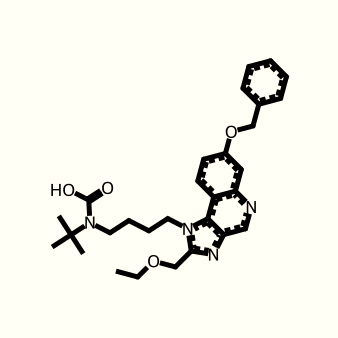 CCOCc1nc2cnc3cc(OCc4ccccc4)ccc3c2n1CCCCN(C(=O)O)C(C)(C)C